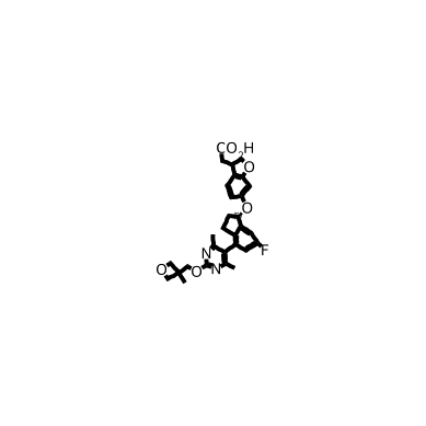 Cc1nc(OCC2(C)COC2)nc(C)c1-c1cc(F)cc2c1CC[C@H]2Oc1ccc2c(c1)OCC2CC(=O)O